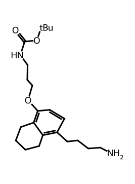 CC(C)(C)OC(=O)NCCCOc1ccc(CCCCN)c2c1CCCC2